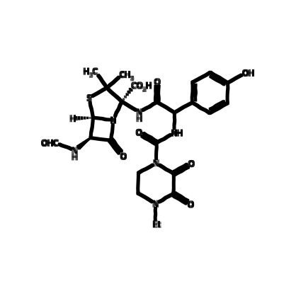 CCN1CCN(C(=O)NC(C(=O)N[C@@]2(C(=O)O)N3C(=O)[C@@H](NC=O)[C@H]3SC2(C)C)c2ccc(O)cc2)C(=O)C1=O